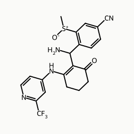 C[S+]([O-])c1cc(C#N)ccc1C(N)C1=C(Nc2ccnc(C(F)(F)F)c2)CCCC1=O